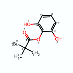 CC(C)(C)C(C)(C)C(=O)Oc1c(O)cccc1O